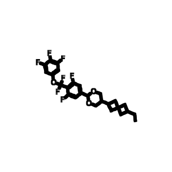 CCC1CC2(C1)CC(C1COC(c3cc(F)c(C(F)(F)Oc4cc(F)c(F)c(F)c4)c(F)c3)OC1)C2